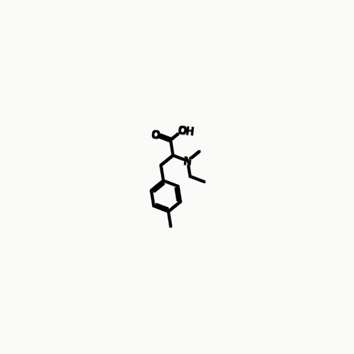 CCN(C)C(Cc1ccc(C)cc1)C(=O)O